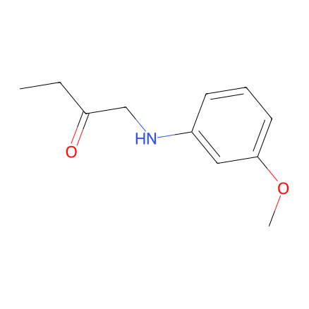 CCC(=O)CNc1cccc(OC)c1